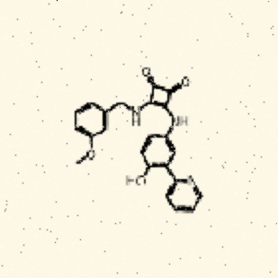 COc1cccc(CNc2c(Nc3ccc(O)c(-c4ccccn4)c3)c(=O)c2=O)c1